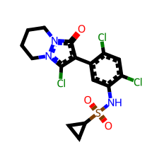 O=c1c(-c2cc(NS(=O)(=O)C3CC3)c(Cl)cc2Cl)c(Cl)n2n1CCCC2